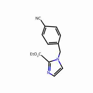 CCOC(=O)c1nccn1Cc1ccc(C#N)cc1